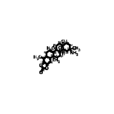 Cc1c2c(cc3oc(=O)oc13)[C@]1(C)CC[C@@]3(C)[C@@H]4C[C@](C)(N)CC[C@]4(C)CC[C@]3(C)C1=CC2